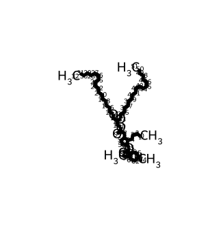 CC/C=C\CC1C(CC(=O)OCC(COCCCCCCCC/C=C\C/C=C\CCCCC)OCCCCCCCC/C=C\C/C=C\CCCCC)CCC1OC(=O)C1(CC)CCN(C)CC1